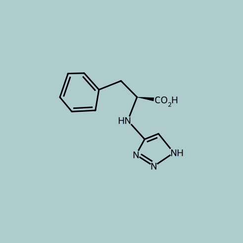 O=C(O)[C@H](Cc1ccccc1)Nc1c[nH]nn1